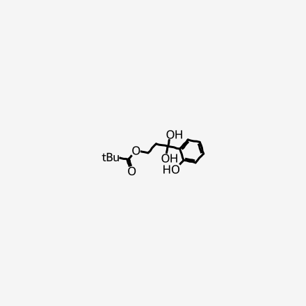 CC(C)(C)C(=O)OCCC(O)(O)c1ccccc1O